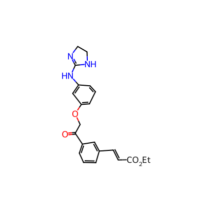 CCOC(=O)/C=C/c1cccc(C(=O)COc2cccc(NC3=NCCN3)c2)c1